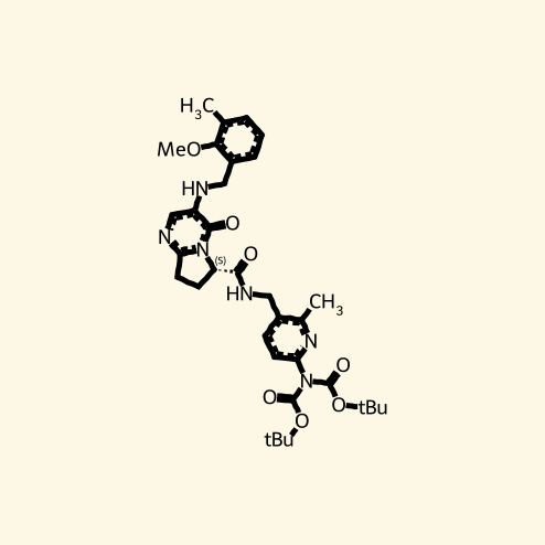 COc1c(C)cccc1CNc1cnc2n(c1=O)[C@H](C(=O)NCc1ccc(N(C(=O)OC(C)(C)C)C(=O)OC(C)(C)C)nc1C)CC2